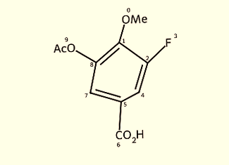 COc1c(F)cc(C(=O)O)cc1OC(C)=O